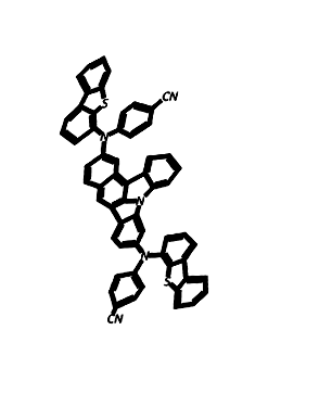 N#Cc1ccc(N(c2ccc3cc4c5ccc(N(c6ccc(C#N)cc6)c6cccc7c6sc6ccccc67)cc5n5c6ccccc6c(c3c2)c45)c2cccc3c2sc2ccccc23)cc1